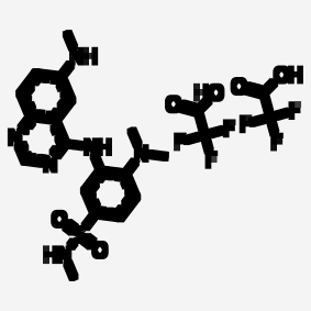 CNc1ccc2ncnc(Nc3cc(S(=O)(=O)NC)ccc3N(C)C)c2c1.O=C(O)C(F)(F)F.O=C(O)C(F)(F)F